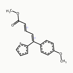 COC(=O)/C=C/C=C(/c1ccc(OC)cc1)c1cccs1